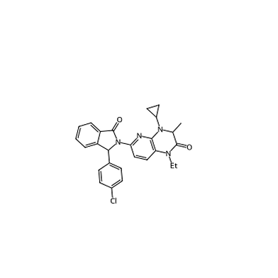 CCN1C(=O)C(C)N(C2CC2)c2nc(N3C(=O)c4ccccc4C3c3ccc(Cl)cc3)ccc21